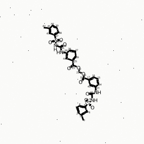 Cc1cccc(S(=O)(=O)NC(=O)Nc2cccc(C(=O)OCOC(=O)c3cccc(NC(=O)NS(=O)(=O)c4cccc(C)c4)c3)c2)c1